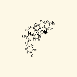 Cc1ccc(C=CC(=O)N2CCC(S[C@H](C)[C@](O)(Cn3cncn3)c3ccc(F)cc3F)CC2)cc1